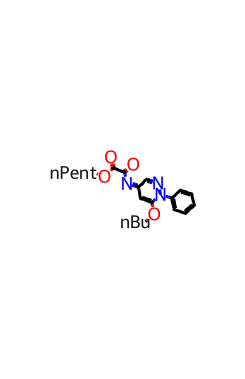 CCCCCOC(=O)C(=O)N=c1cnn(-c2ccccc2)c(OCCCC)c1